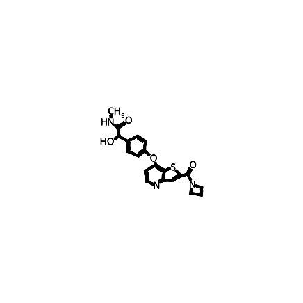 CNC(=O)C(O)c1ccc(Oc2ccnc3cc(C(=O)N4CCC4)sc23)cc1